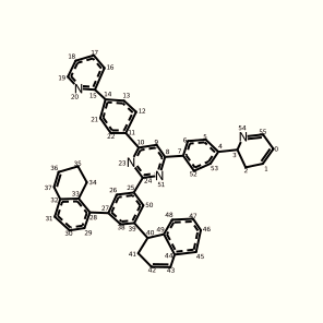 C1=CCC(c2ccc(-c3cc(-c4ccc(-c5ccccn5)cc4)nc(-c4cc(-c5cccc6c5CCC=C6)cc(C5CC=Cc6ccccc65)c4)n3)cc2)N=C1